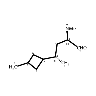 CN[C@@H](C=O)C[C@H](C)C1CC(C)C1